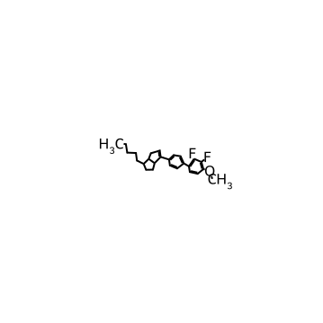 CCCCCC1CCC2C(c3ccc(-c4ccc(OC)c(F)c4F)cc3)=CCC12